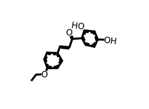 CCOc1ccc(/C=C/C(=O)c2ccc(O)cc2O)cc1